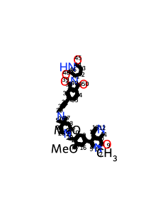 COc1cc(-c2cn(C)c(=O)c3cnccc23)cc(OC)c1CN1CCC2(CC1)CN(CC#Cc1ccc3c(c1)C(=O)N(C1CCC(=O)NC1=O)C3=O)C2